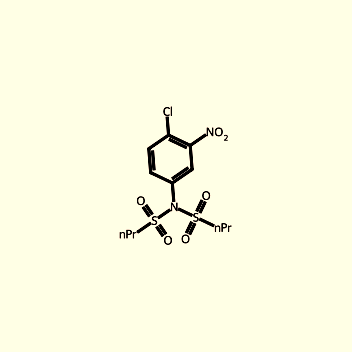 CCCS(=O)(=O)N(c1ccc(Cl)c([N+](=O)[O-])c1)S(=O)(=O)CCC